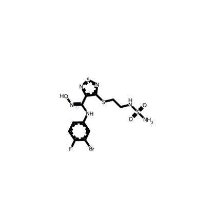 NS(=O)(=O)NCCSc1nsnc1/C(=N\O)Nc1ccc(F)c(Br)c1